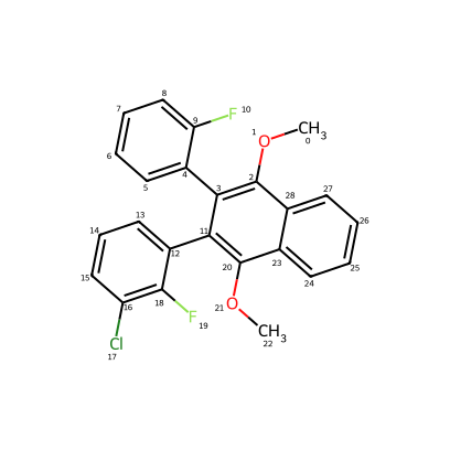 COc1c(-c2ccccc2F)c(-c2cccc(Cl)c2F)c(OC)c2ccccc12